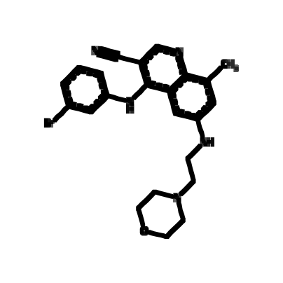 Cc1cc(NCCN2CCOCC2)cc2c(Nc3cccc(Br)c3)c(C#N)cnc12